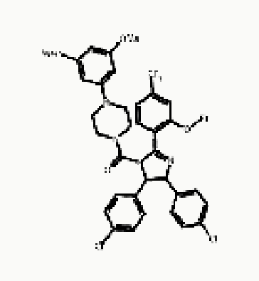 CCOc1cc(C(F)(F)F)ccc1C1=NC(c2ccc(Cl)cc2)C(c2ccc(Cl)cc2)N1C(=O)N1CCN(c2cc(OC)cc(OC)c2)CC1